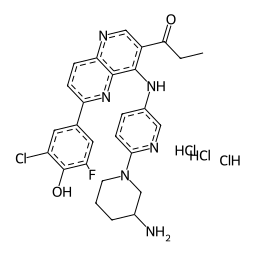 CCC(=O)c1cnc2ccc(-c3cc(F)c(O)c(Cl)c3)nc2c1Nc1ccc(N2CCCC(N)C2)nc1.Cl.Cl.Cl